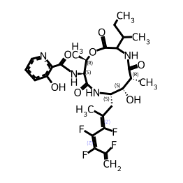 C=C(F)/C(F)=C(F)\C(F)=C(/C)C[C@@H]1NC(=O)[C@@H](NC(=O)c2ncccc2O)[C@@H](C)OC(=O)C(C(C)CC)NC(=O)[C@H](C)[C@@H]1O